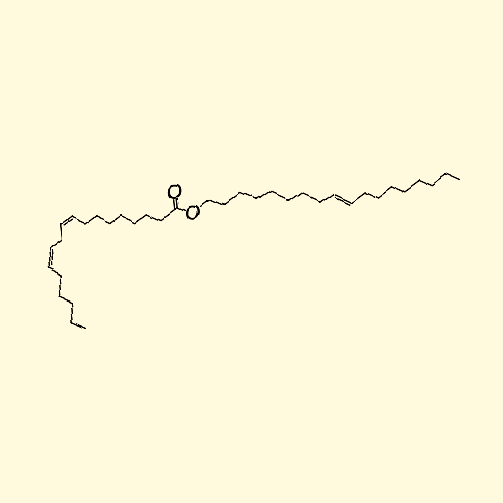 CCCCC/C=C\C/C=C\CCCCCCCC(=O)OCCCCCCCC/C=C/CCCCCCCC